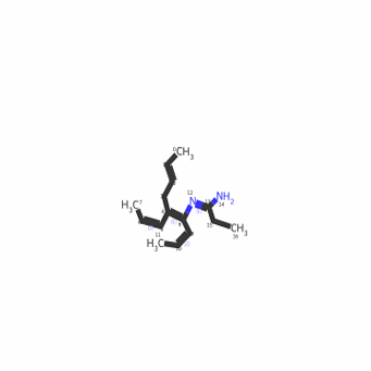 CC=CCC(/C=C\C)=C(/C=C\C)\N=C(\N)CC